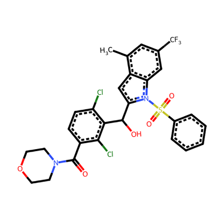 Cc1cc(C(F)(F)F)cc2c1cc(C(O)c1c(Cl)ccc(C(=O)N3CCOCC3)c1Cl)n2S(=O)(=O)c1ccccc1